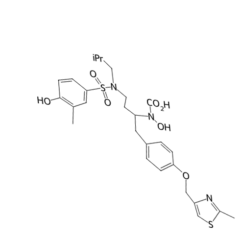 Cc1nc(COc2ccc(CC(CCN(CC(C)C)S(=O)(=O)c3ccc(O)c(C)c3)N(O)C(=O)O)cc2)cs1